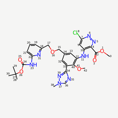 COC(=O)c1nnc(Cl)cc1Nc1cc(COCc2cccc(NC(=O)OC(C)(C)C)n2)cc(-c2ncn(C)n2)c1OC